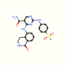 CS(=O)(=O)c1ccc(Nc2ncc(C(N)=O)c(Nc3cccc4c3CCNC4=O)n2)cc1